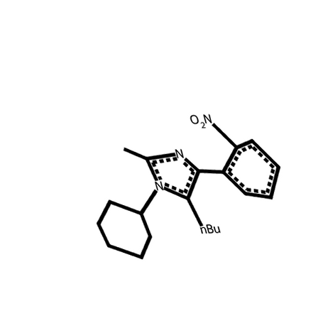 CCCCc1c(-c2ccccc2[N+](=O)[O-])nc(C)n1C1CCCCC1